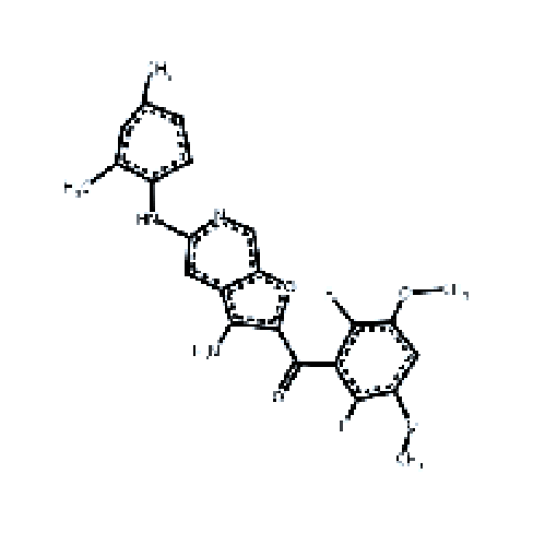 COc1cc(OC)c(F)c(C(=O)c2oc3cnc(Nc4ccc(C)cc4C)cc3c2N)c1F